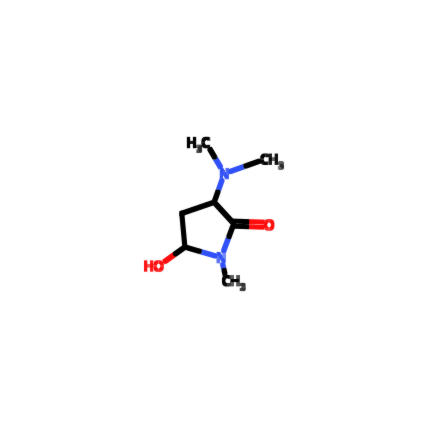 CN(C)C1CC(O)N(C)C1=O